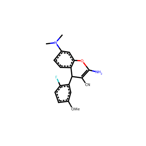 COc1ccc(F)c(C2C(C#N)=C(N)Oc3cc(N(C)C)ccc32)c1